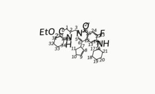 CCOC(=O)CC(Cn1cc(C2C=CCC2)c2cc(NC3CCCCC3)c(F)cc2c1=O)NC1CCCCC1